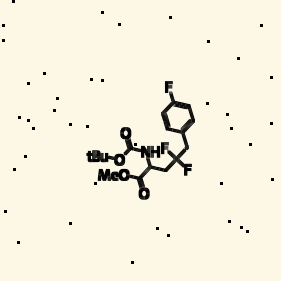 COC(=O)C(CC(F)(F)Cc1ccc(F)cc1)NC(=O)OC(C)(C)C